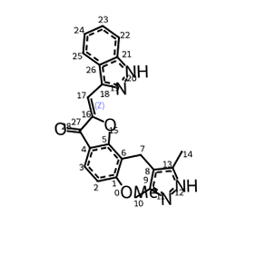 COc1ccc2c(c1Cc1c(C)n[nH]c1C)O/C(=C\c1n[nH]c3ccccc13)C2=O